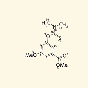 COC(=O)c1cc(OC)cc(OC(=S)N(C)C)c1